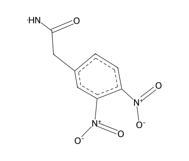 [NH]C(=O)Cc1ccc([N+](=O)[O-])c([N+](=O)[O-])c1